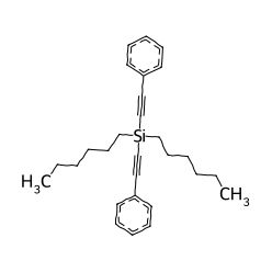 CCCCCC[Si](C#Cc1ccccc1)(C#Cc1ccccc1)CCCCCC